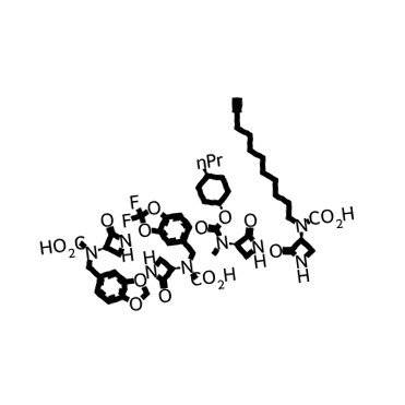 C#CCCCCCCCCCN(C(=O)O)[C@H]1CNC1=O.CCC[C@H]1CC[C@H](OC(=O)N(C)[C@H]2CNC2=O)CC1.O=C1NC[C@@H]1N(Cc1ccc2c(c1)OC(F)(F)O2)C(=O)O.O=C1NC[C@@H]1N(Cc1ccc2c(c1)OCO2)C(=O)O